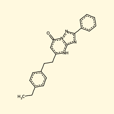 CCc1ccc(CCc2cc(=O)n3nc(-c4ccccc4)nc3[nH]2)cc1